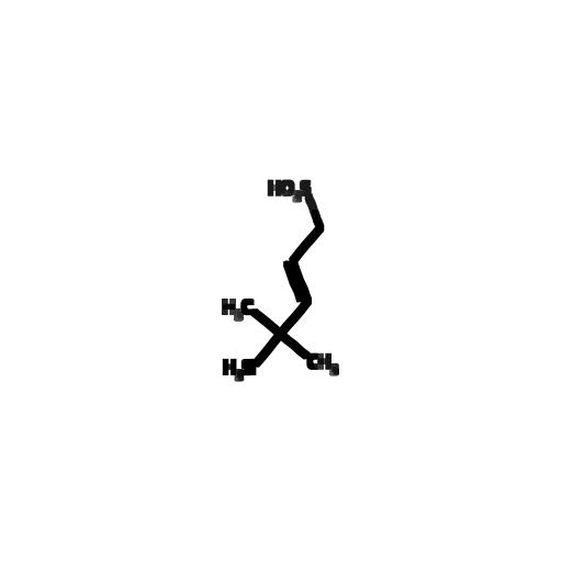 CC(C)([SiH3])C=CCS(=O)(=O)O